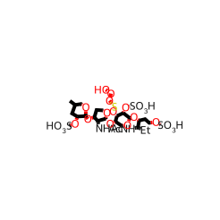 CCC(NC(C)=O)C(CCOS(=O)(=O)O)OC1OCC(OC2OCCC(OC3OCC(C)CC3OS(=O)(=O)O)C2NC(C)=O)C(OSOOO)C1OS(=O)(=O)O